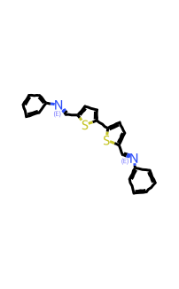 C(=N\c1ccccc1)/c1ccc(-c2ccc(/C=N/c3ccccc3)s2)s1